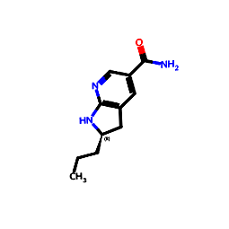 CCC[C@@H]1Cc2cc(C(N)=O)cnc2N1